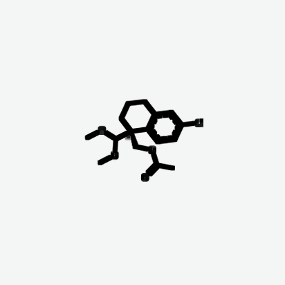 COC(OC)[C@]1(COC(C)=O)CCCc2cc(Cl)ccc21